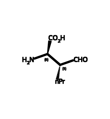 CCC[C@@H](C=O)[C@@H](N)C(=O)O